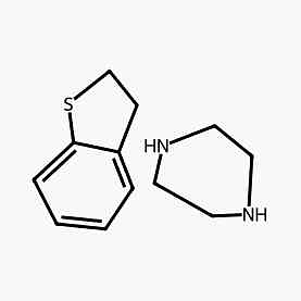 C1CNCCN1.c1ccc2c(c1)CCS2